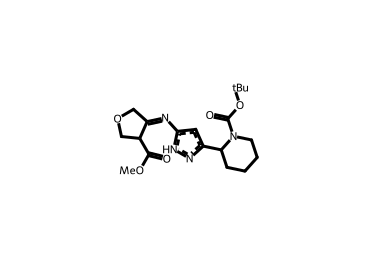 COC(=O)C1COC/C1=N/c1cc(C2CCCCN2C(=O)OC(C)(C)C)n[nH]1